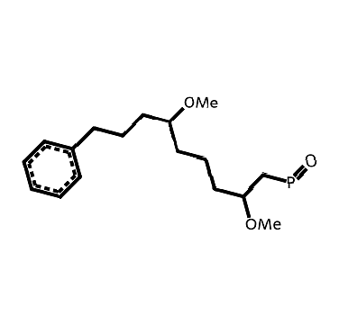 COC(CCCc1ccccc1)CCCC(CP=O)OC